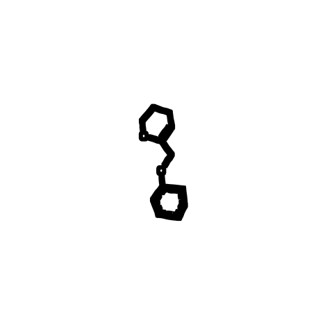 C1=C(COc2ccccc2)OCCC1